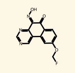 O=C1C(=NO)c2ncncc2-c2cc(OCF)ccc21